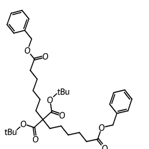 CC(C)(C)OC(=O)C(CCCCCC(=O)OCc1ccccc1)(CCCCCC(=O)OCc1ccccc1)C(=O)OC(C)(C)C